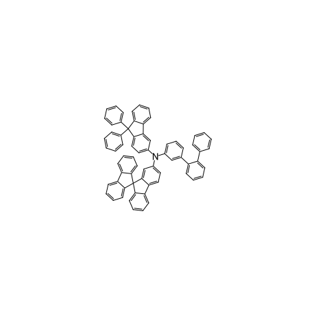 c1ccc(-c2ccccc2-c2cccc(N(c3ccc4c(c3)-c3ccccc3C4(c3ccccc3)c3ccccc3)c3ccc4c(c3)C3(c5ccccc5-c5ccccc53)c3ccccc3-4)c2)cc1